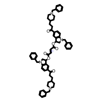 O=C(/C=C/C(=O)OC1CN(Cc2ccccc2)c2ccc(C(=O)CCC3CCN(Cc4ccccc4)CC3)cc21)OC1CN(Cc2ccccc2)c2ccc(C(=O)CCC3CCN(Cc4ccccc4)CC3)cc21